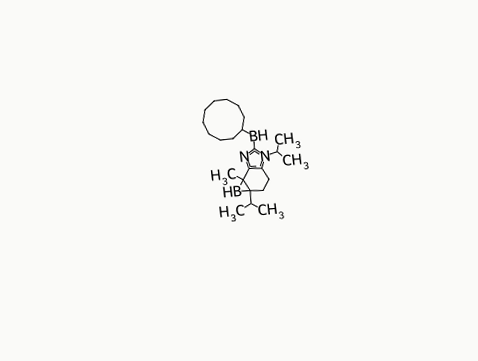 CC(C)n1c(BC2CCCCCCCCC2)nc2c1CCC1(C(C)C)BC21C